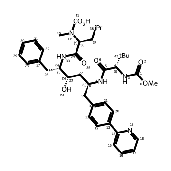 COC(=O)N[C@H](C(=O)N[C@@H](Cc1ccc(-c2ccccn2)cc1)C[C@H](O)[C@H](Cc1ccccc1)NC(=O)[C@H](CC(C)C)N(C)C(=O)O)C(C)(C)C